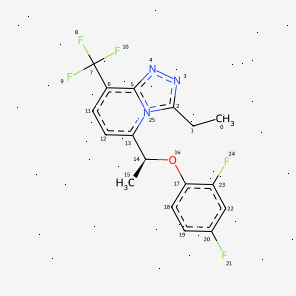 CCc1nnc2c(C(F)(F)F)ccc([C@H](C)Oc3ccc(F)cc3F)n12